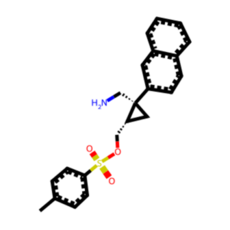 Cc1ccc(S(=O)(=O)OC[C@H]2C[C@]2(CN)c2ccc3ccccc3c2)cc1